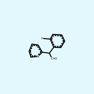 O=CC(c1ccccn1)c1ccccc1F